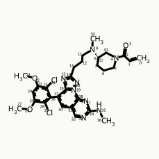 C=CC(=O)N1CCC[C@H](N(C)CCCc2nc3c(-c4c(Cl)c(OC)cc(OC)c4Cl)cc4cnc(NC)nc4n3n2)C1